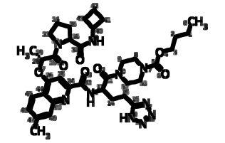 CCCCOC(=O)N1CCN(C(=O)C(CCc2nnn[nH]2)NC(=O)c2cc(O[C@H](C)C(=O)N3CCCC3C(=O)NC3CCC3)c3ccc(C)cc3n2)CC1